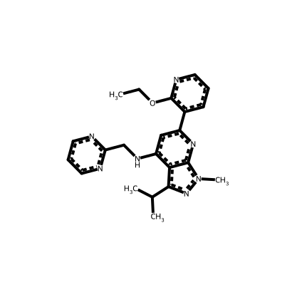 CCOc1ncccc1-c1cc(NCc2ncccn2)c2c(C(C)C)nn(C)c2n1